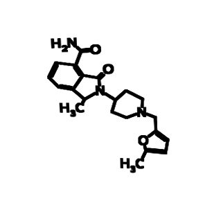 Cc1ccc(CN2CCC(N3C(=O)c4c(C(N)=O)cccc4C3C)CC2)o1